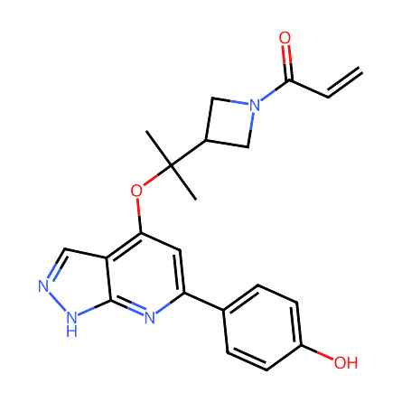 C=CC(=O)N1CC(C(C)(C)Oc2cc(-c3ccc(O)cc3)nc3[nH]ncc23)C1